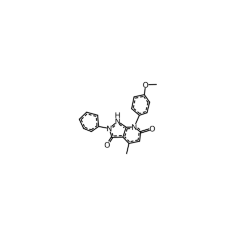 COc1ccc(-n2c(=O)cc(C)c3c(=O)n(-c4ccccc4)[nH]c32)cc1